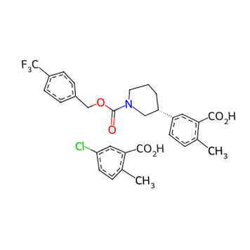 Cc1ccc(Cl)cc1C(=O)O.Cc1ccc([C@H]2CCCN(C(=O)OCc3ccc(C(F)(F)F)cc3)C2)cc1C(=O)O